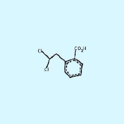 O=C(O)c1ccccc1CC(Cl)Cl